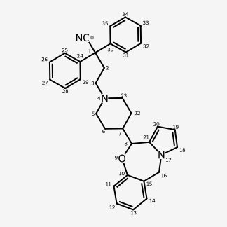 N#CC(CCN1CCC(C2Oc3ccccc3Cn3cccc32)CC1)(c1ccccc1)c1ccccc1